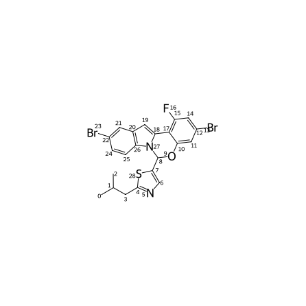 CC(C)Cc1ncc(C2Oc3cc(Br)cc(F)c3-c3cc4cc(Br)ccc4n32)s1